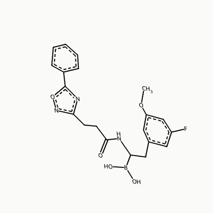 COc1cc(F)cc(CC(NC(=O)CCc2noc(-c3ccccc3)n2)B(O)O)c1